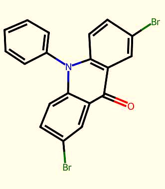 O=c1c2cc(Br)ccc2n(-c2ccccc2)c2ccc(Br)cc12